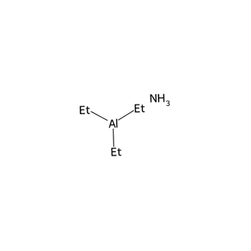 C[CH2][Al]([CH2]C)[CH2]C.N